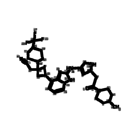 CN1CCN(C(=O)CN2C=C(NC3N=C4C(N5CC(CC#N)(N6CCC(C(F)(F)F)CC6)C5)=CC=CN4N3)CN2)CC1